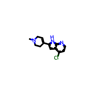 CN1CC=C(c2cc3c(Cl)ccnc3[nH]2)CC1